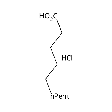 CCCCCCCCCC(=O)O.Cl